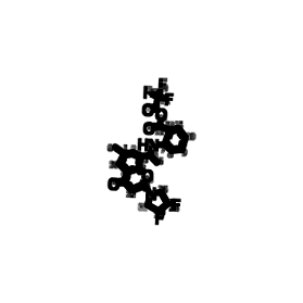 Cc1cc(C(C)Nc2ccccc2C(=O)OC(=O)C(F)(F)F)c2oc(N3C[C@@H](F)[C@@H](F)C3)cc(=O)c2c1